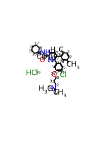 Cc1ccc(C)c(-c2ccc(C(=O)NC3(C(=O)O)CCCCC3)nc2-c2ccc(Cl)c(OCCCN(C)C)c2)c1.Cl